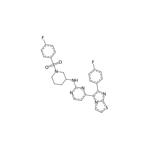 O=S(=O)(c1ccc(F)cc1)N1CCCC(Nc2nccc(-c3c(-c4ccc(F)cc4)nc4sccn34)n2)C1